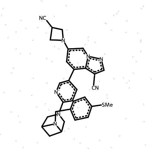 CSc1ccc(CN2C3CC2CN(c2ccc(-c4cc(N5CC(C#N)C5)cn5ncc(C#N)c45)cn2)C3)cc1